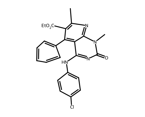 CCOC(=O)c1c(C)nc2c(c(Nc3ccc(Cl)cc3)nc(=O)n2C)c1-c1ccccc1